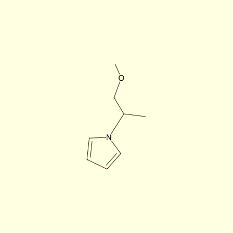 COCC(C)n1cccc1